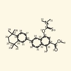 COC(=O)c1cc(OC(=S)N(C)C)c2cc(-c3ccc4c(c3)C(C)(C)CCC4(C)C)ccc2c1C